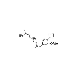 COC1C=C(CN(C)CCNC/C=C(/C)C(C)C)C=CC1C1CCC1